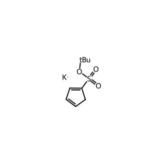 CC(C)(C)OS(=O)(=O)C1=CC=CC1.[K]